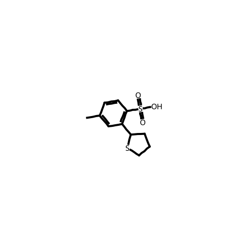 Cc1ccc(S(=O)(=O)O)c(C2CCCS2)c1